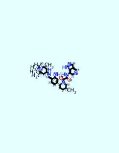 C[C@H]1CC[C@H](C2=CC(=N)/C(=C\NC3CC(C)(C)N(C)C(C)(C)C3)C=C2)N(C(=O)C(=O)Nc2cncc3cn[nH]c23)C1